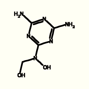 Nc1nc(N)nc(N(O)CO)n1